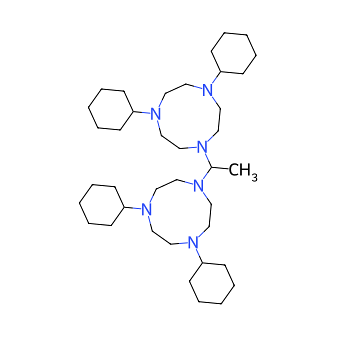 CC(N1CCN(C2CCCCC2)CCN(C2CCCCC2)CC1)N1CCN(C2CCCCC2)CCN(C2CCCCC2)CC1